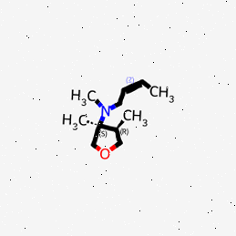 C/C=C\CN(C)[C@]1(C)COC[C@@H]1C